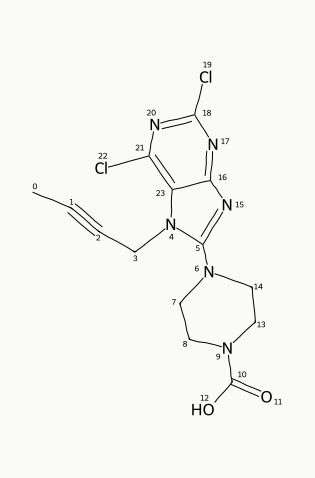 CC#CCn1c(N2CCN(C(=O)O)CC2)nc2nc(Cl)nc(Cl)c21